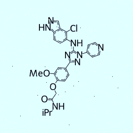 COc1cc(-c2nc(Nc3ccc4[nH]ncc4c3Cl)n(-c3ccncc3)n2)ccc1OCC(=O)NC(C)C